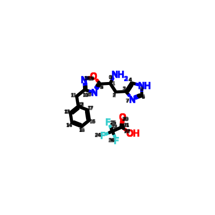 NC(Cc1c[nH]cn1)c1nc(Cc2ccccc2)no1.O=C(O)C(F)(F)F